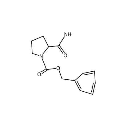 [NH]C(=O)C1CCCN1C(=O)OCc1ccccc1